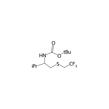 CC(C)C(CSCC(F)(F)F)NC(=O)OC(C)(C)C